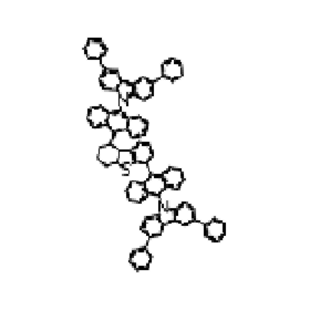 c1ccc(-c2ccc3c(c2)c2cc(-c4ccccc4)ccc2n3-c2c3ccccc3c(-c3cccc4c3SC3CCCC(c5c6ccccc6c(-n6c7ccc(-c8ccccc8)cc7c7cc(-c8ccccc8)ccc76)c6ccccc56)C43)c3ccccc23)cc1